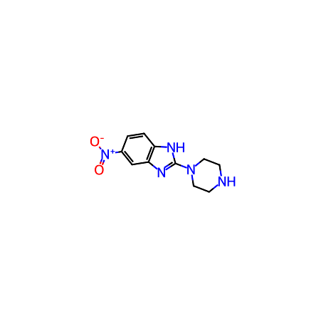 O=[N+]([O-])c1ccc2[nH]c(N3CCNCC3)nc2c1